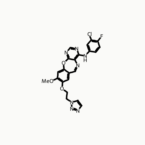 COc1cc2c(cc1OCCn1ccnn1)C=Nc1c(Nc3ccc(F)c(Cl)c3)ncnc1O2